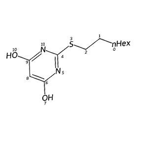 CCCCCCCCSc1nc(O)cc(O)n1